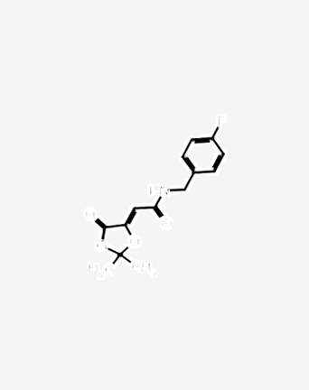 CC1(C)OC(=O)/C(=C/C(=O)NCc2ccc(F)cc2)O1